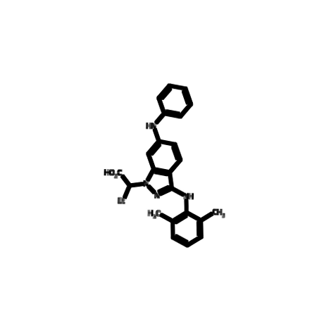 CCC(C(=O)O)n1nc(Nc2c(C)cccc2C)c2ccc(Nc3ccccc3)cc21